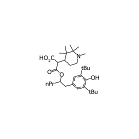 CCCC(Cc1cc(C(C)(C)C)c(O)c(C(C)(C)C)c1)OC(=O)C(C(=O)O)C1CCN(C)C(C)(C)C1(C)C